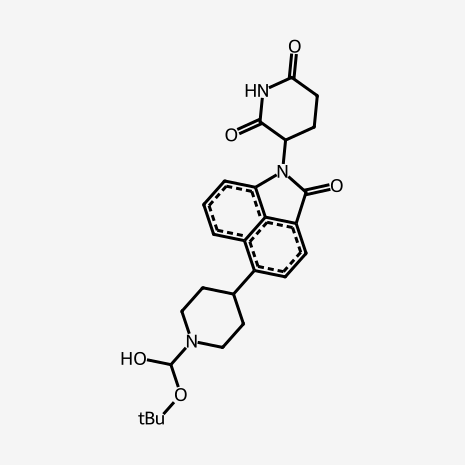 CC(C)(C)OC(O)N1CCC(c2ccc3c4c(cccc24)N(C2CCC(=O)NC2=O)C3=O)CC1